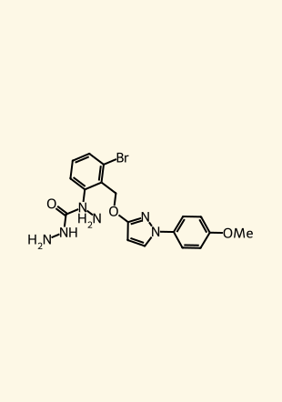 COc1ccc(-n2ccc(OCc3c(Br)cccc3N(N)C(=O)NN)n2)cc1